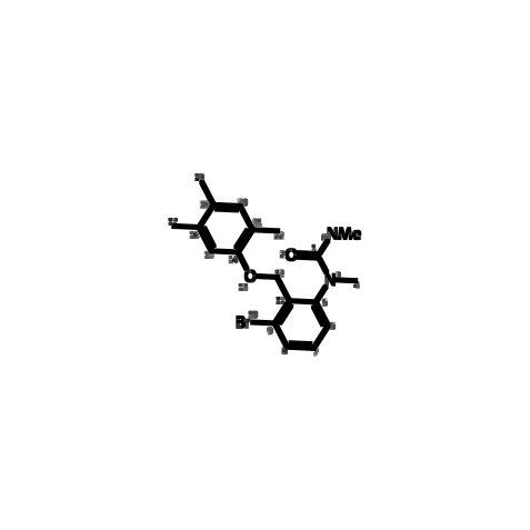 CNC(=O)N(C)c1cccc(Br)c1COc1cc(C)c(C)cc1C